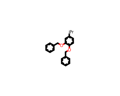 CC(C)c1ccc(OCc2ccccc2)c(OCc2ccccc2)c1